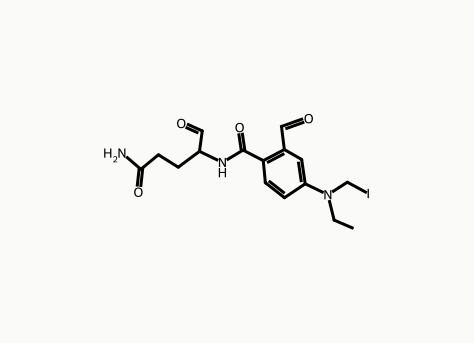 CCN(CI)c1ccc(C(=O)NC(C=O)CCC(N)=O)c(C=O)c1